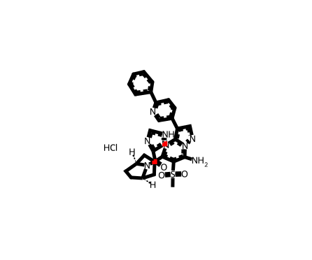 CS(=O)(=O)c1c(C2C[C@H]3CC[C@@H](C2)N3C(=O)c2nc[nH]n2)nc2c(-c3ccc(-c4ccccc4)nc3)cnn2c1N.Cl